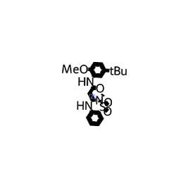 COc1ccc(C(C)(C)C)cc1NC(=O)/C=C1/Nc2ccccc2S(=O)(=O)N1C